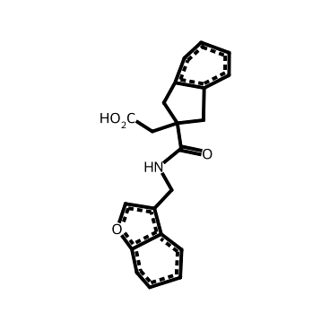 O=C(O)CC1(C(=O)NCc2coc3ccccc23)Cc2ccccc2C1